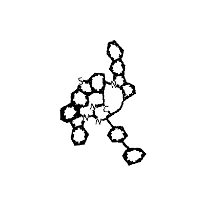 c1ccc(-c2ccc(C3=C4CC(=NC(n5c6ccccc6c6ccccc65)=N3)c3c(ccc5sc6cc7ccccc7cc6c35)-n3c5cc(ccc5c5cc6ccccc6cc53)C4)cc2)cc1